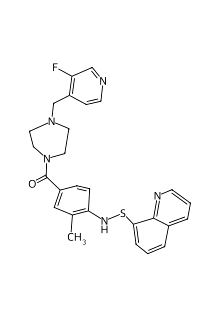 Cc1cc(C(=O)N2CCN(Cc3ccncc3F)CC2)ccc1NSc1cccc2cccnc12